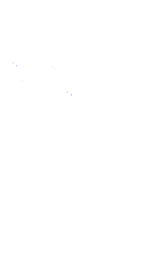 NC(=O)c1cn(C(O)CCCc2cccc(C(F)(F)F)c2)cn1